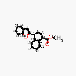 COC(=O)c1ccc(-c2cc3ccccc3o2)c2ccccc12